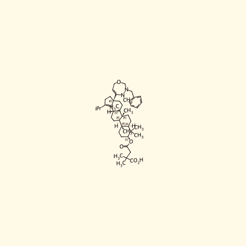 CC(C)C1=C2[C@H]3CC[C@@H]4[C@@]5(C)CC[C@H](OC(=O)CC(C)(C)C(=O)O)C(C)(C)[C@@H]5CC[C@@]4(C)[C@]3(C)CC[C@@]2(C2=CCOCN(Cc3ccccc3)N2C)CC1